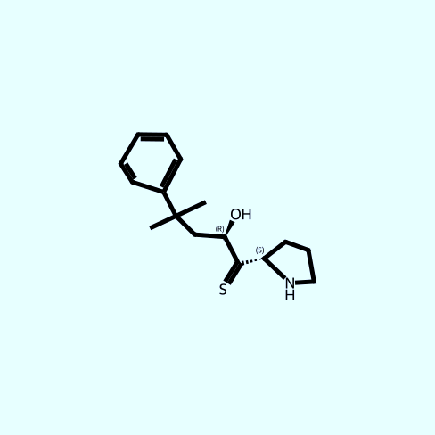 CC(C)(C[C@@H](O)C(=S)[C@@H]1CCCN1)c1ccccc1